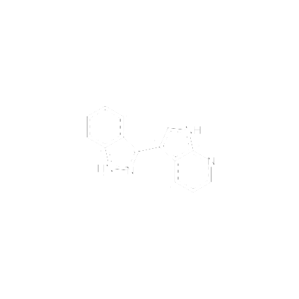 c1ccc2c(-c3c[nH]c4ncccc34)n[nH]c2c1